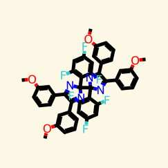 COc1cccc(C2=NC(c3c(F)cc(F)cc3F)(C3(c4c(F)cc(F)cc4F)N=C(c4cccc(OC)c4)C(c4cccc(OC)c4)=N3)N=C2c2cccc(OC)c2)c1